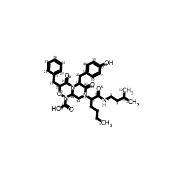 CCCCC(C(=O)NCCC(C)C)N1CC2N(C(=O)O)OC(Cc3ccccc3)C(=O)N2C(Cc2ccc(O)cc2)C1=O